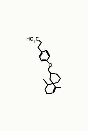 CC1=CCCC(C)C12CCCC(COc1ccc(CCC(=O)O)cc1)C2